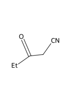 [CH2]CC(=O)CC#N